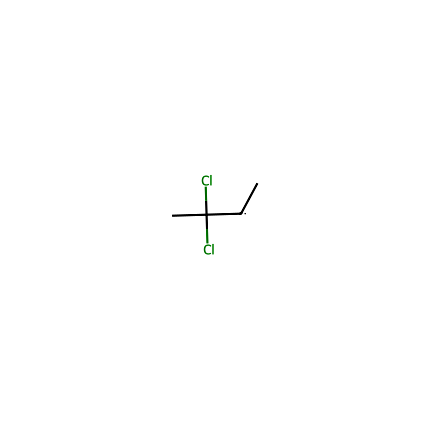 C[CH]C(C)(Cl)Cl